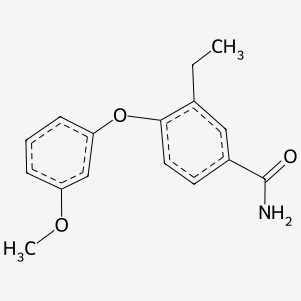 CCc1cc(C(N)=O)ccc1Oc1cccc(OC)c1